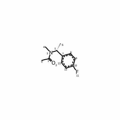 CC(=O)N(C)[C@H](C)c1ccc(F)cc1